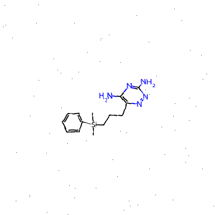 C[Si](C)(CCCc1nnc(N)nc1N)c1ccccc1